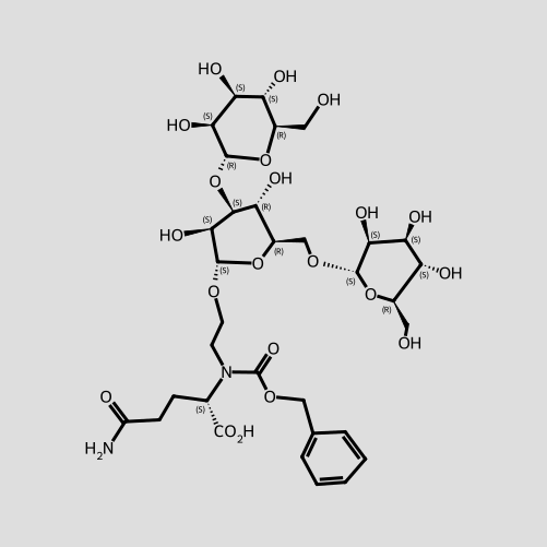 NC(=O)CC[C@@H](C(=O)O)N(CCO[C@H]1O[C@H](CO[C@H]2O[C@H](CO)[C@@H](O)[C@H](O)[C@@H]2O)[C@@H](O)[C@H](O[C@H]2O[C@H](CO)[C@@H](O)[C@H](O)[C@@H]2O)[C@@H]1O)C(=O)OCc1ccccc1